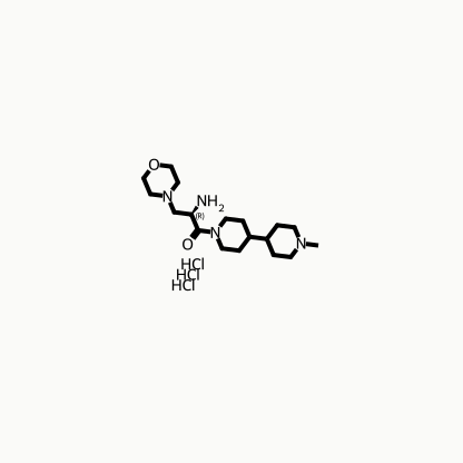 CN1CCC(C2CCN(C(=O)[C@H](N)CN3CCOCC3)CC2)CC1.Cl.Cl.Cl